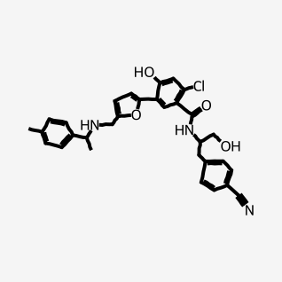 Cc1ccc(C(C)NCc2ccc(-c3cc(C(=O)NC(CO)Cc4ccc(C#N)cc4)c(Cl)cc3O)o2)cc1